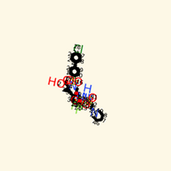 O=C(O)C1(N(CCNS(=O)(=O)C(F)(F)F)S(=O)(=O)c2ccc(-c3ccc(Cl)cc3)cc2)CC1c1cccc(NS(=O)(=O)CCN2CCCCC2)c1